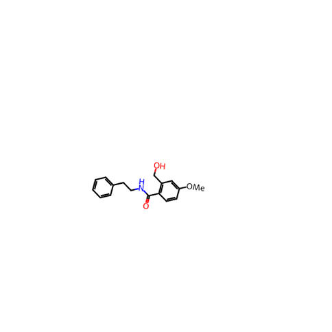 COc1ccc(C(=O)NCCc2ccccc2)c(CO)c1